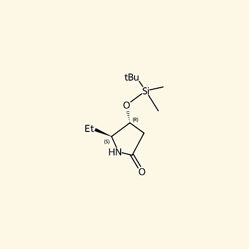 CC[C@@H]1NC(=O)C[C@H]1O[Si](C)(C)C(C)(C)C